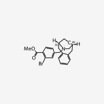 COC(=O)c1ccc(CN2C[C@@H]3CC[C@H]2Cc2ccccc2C3)cc1Br